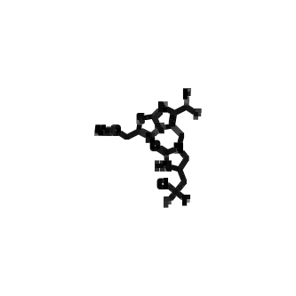 COCc1nn2c(CN3CC(CC(F)(F)Cl)NC3=O)c(C(F)F)nc2s1